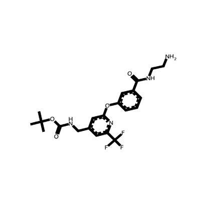 CC(C)(C)OC(=O)NCc1cc(Oc2cccc(C(=O)NCCN)c2)nc(C(F)(F)F)c1